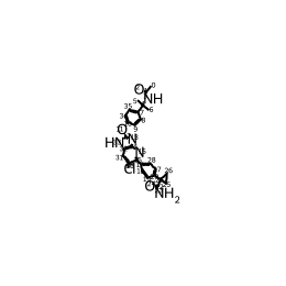 CC(=O)NC(C)(C)c1ccc(Oc2nc3nc(-c4ccc(C5(C(N)=O)CC5)cc4)c(Cl)cc3[nH]2)cc1